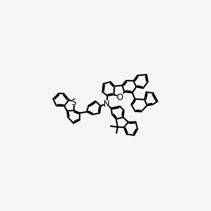 CC1(C)c2ccccc2-c2ccc(N(c3ccc(-c4cccc5c4sc4ccccc45)cc3)c3cccc4c3oc3c(-c5cccc6ccccc56)c5ccccc5cc34)cc21